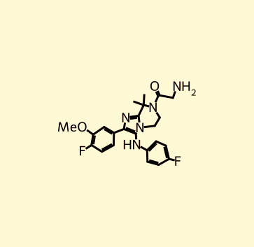 COc1cc(-c2nc3n(c2Nc2ccc(F)cc2)CCN(C(=O)CN)C3(C)C)ccc1F